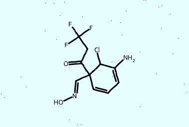 NC1=CC=CC(C=NO)(C(=O)CC(F)(F)F)C1Cl